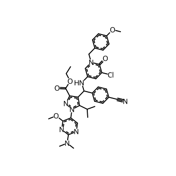 CCOC(=O)c1nn(-c2cnc(N(C)C)nc2OC)c(C(C)C)c1C(Nc1cc(Cl)c(=O)n(Cc2ccc(OC)cc2)c1)c1ccc(C#N)cc1